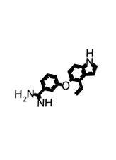 C=Cc1c(Oc2cccc(C(=N)N)c2)ccc2[nH]ccc12